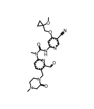 COC1(COc2cc(NC(=O)N(C)c3ccc(CN4CCN(C)CC4=O)c(C=O)n3)ncc2C#N)CC1